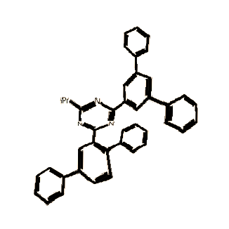 CC(C)c1nc(-c2cc(-c3ccccc3)cc(-c3ccccc3)c2)nc(-c2cc(-c3ccccc3)ccc2-c2ccccc2)n1